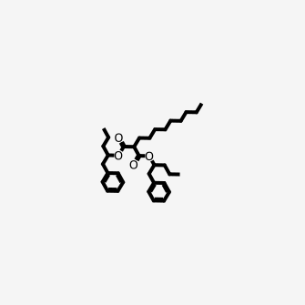 CCCCCCCCCC(C(=O)OC(CCC)Cc1ccccc1)C(=O)OC(CCC)Cc1ccccc1